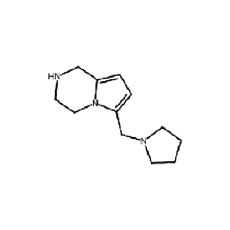 c1cc(CN2CCCC2)n2c1CNCC2